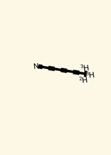 [2H]C([3H])([3H])C#CC#CC#CC#N